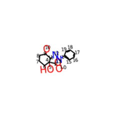 COC(=O)C1(O)CCCC(=O)C1N=Nc1ccccc1